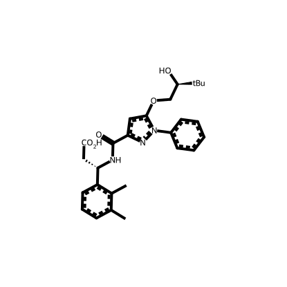 Cc1cccc([C@H](CC(=O)O)NC(=O)c2cc(OC[C@@H](O)C(C)(C)C)n(-c3ccccc3)n2)c1C